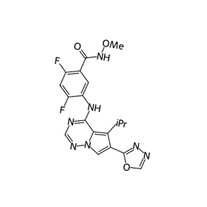 CONC(=O)c1cc(Nc2ncnn3cc(-c4nnco4)c(C(C)C)c23)c(F)cc1F